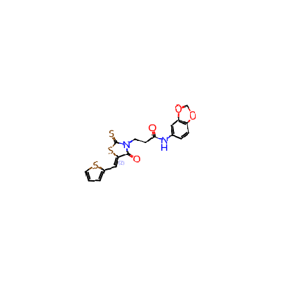 O=C(CCN1C(=O)/C(=C/c2cccs2)SC1=S)Nc1ccc2c(c1)OCO2